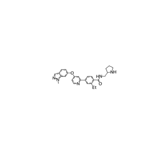 CCc1cc(-c2cc(Oc3ccc4cnn(C)c4c3)ccn2)ccc1C(=O)NCC1CCCN1